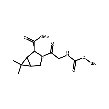 COC(=O)[C@@H]1C2C(CN1C(=O)CNC(=O)OC(C)(C)C)C2(C)C